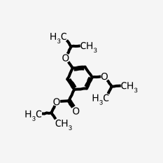 CC(C)OC(=O)c1cc(OC(C)C)cc(OC(C)C)c1